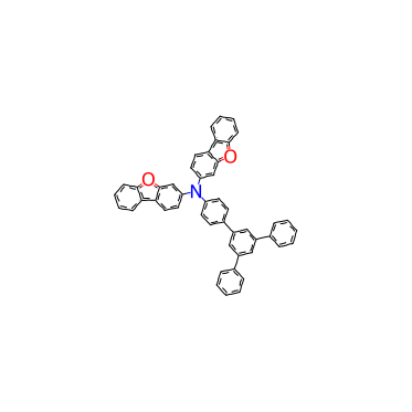 c1ccc(-c2cc(-c3ccccc3)cc(-c3ccc(N(c4ccc5c(c4)oc4ccccc45)c4ccc5c(c4)oc4ccccc45)cc3)c2)cc1